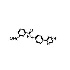 O=Cc1cccc(C(=O)Nc2ccc(-c3c[nH]cn3)cc2)c1